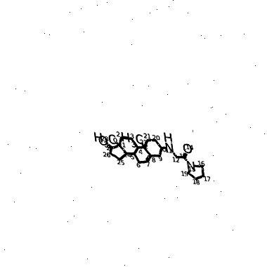 CC12CCC3C(CC=C4CC(NCC(=O)N5CCCC5)CCC43C)C1CCC2=O